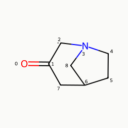 O=C1[CH]N2CCC(C1)C2